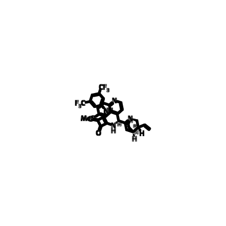 C=C[C@H]1C[N@]2CC[C@H]1CC2[C@H](Nc1c(Nc2cc(C(F)(F)F)cc(C(F)(F)F)c2)c(=O)c1=O)c1ccnc2ccc(OC)cc12